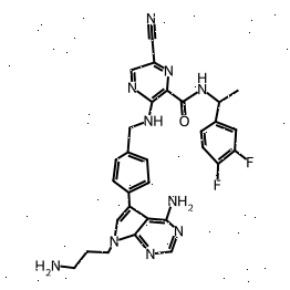 CC(NC(=O)c1nc(C#N)cnc1NCc1ccc(-c2cn(CCCN)c3ncnc(N)c23)cc1)c1ccc(F)c(F)c1